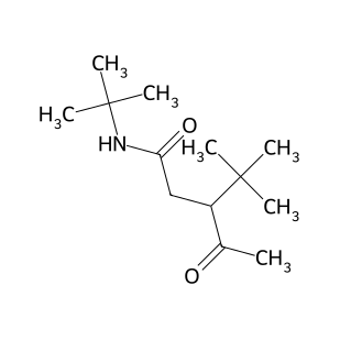 CC(=O)C(CC(=O)NC(C)(C)C)C(C)(C)C